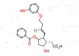 O=C(O)C[C@H]1[C@H](C=C(Cl)CCOc2cccc(O)c2)[C@H](OC(=O)c2ccccc2)C[C@H]1O